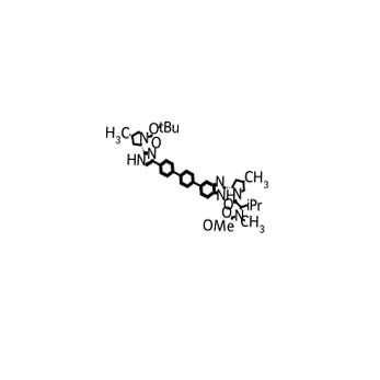 COC(=O)N(C)C(C(=O)N1C[C@@H](C)C[C@H]1c1nc2cc(-c3ccc(-c4ccc(-c5c[nH]c([C@@H]6C[C@H](C)CN6C(=O)OC(C)(C)C)n5)cc4)cc3)ccc2[nH]1)C(C)C